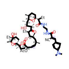 CCC(C(=O)NCCNC(=O)/C(C#N)=C/c1ccc(N(C)C)cc1)[C@H]1CC[C@H](C)[C@H]([C@@H](C)[C@H](O)[C@H](C)C(=O)[C@H](CC)[C@H]2OO[C@@]3(CC[C@@](C)([C@H]4CC[C@](O)(CC)[C@H](C)O4)O3)[C@H](OC(C)=O)/C=C\[C@H](C)C[C@@H]2C)O1